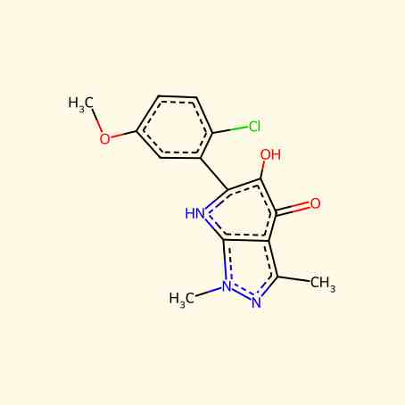 COc1ccc(Cl)c(-c2[nH]c3c(c(C)nn3C)c(=O)c2O)c1